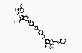 Cn1nc(C2CCC(=O)NC2=O)c2ccc(N3CCC(N4CC(N5CCC(COc6cc(F)c7c(=O)[nH]c(CSC8CCOCC8)nc7c6)CC5)C4)CC3)cc21